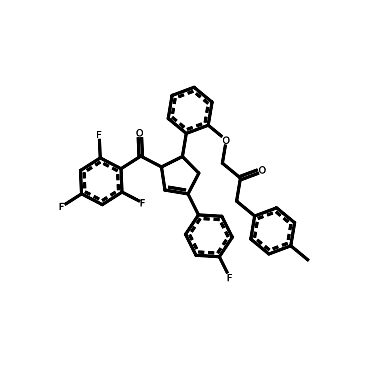 Cc1ccc(CC(=O)COc2ccccc2C2CC(c3ccc(F)cc3)=CC2C(=O)c2c(F)cc(F)cc2F)cc1